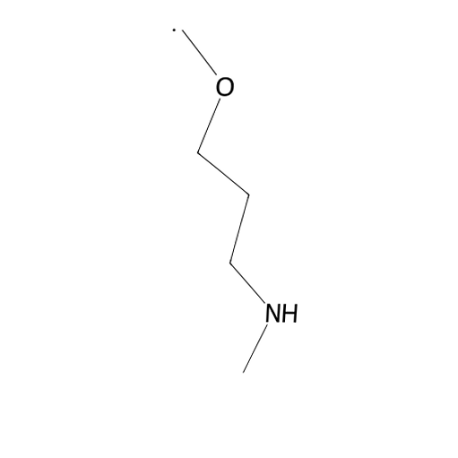 [CH2]OCCCNC